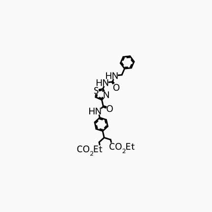 CCOC(=O)CC(CC(=O)OCC)c1ccc(NC(=O)c2csc(NC(=O)NCc3ccccc3)n2)cc1